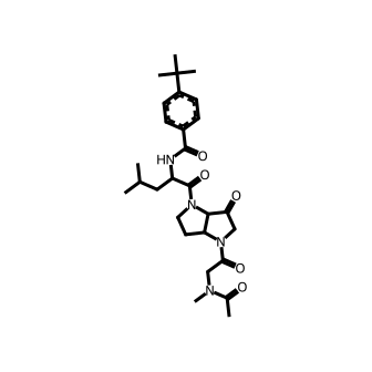 CC(=O)N(C)CC(=O)N1CC(=O)C2C1CCN2C(=O)C(CC(C)C)NC(=O)c1ccc(C(C)(C)C)cc1